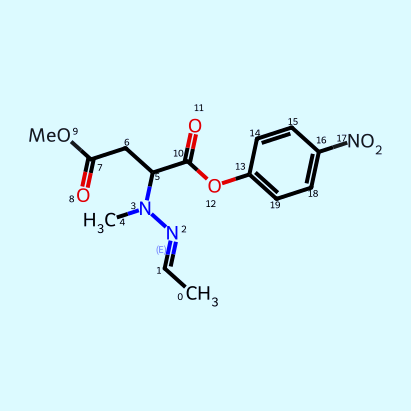 C/C=N/N(C)C(CC(=O)OC)C(=O)Oc1ccc([N+](=O)[O-])cc1